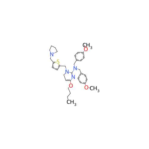 CCCCOC1=CCN(Cc2ccc(CN3CCCC3)s2)C(N(Cc2ccc(OC)cc2)Cc2ccc(OC)cc2)=N1